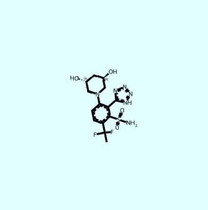 CC(F)(F)c1ccc(N2C[C@H](O)C[C@@H](O)C2)c(-c2nnn[nH]2)c1S(N)(=O)=O